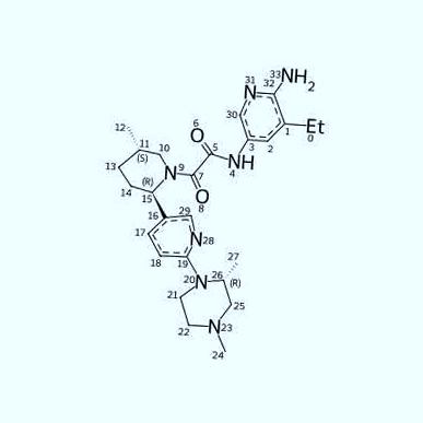 CCc1cc(NC(=O)C(=O)N2C[C@@H](C)CC[C@@H]2c2ccc(N3CCN(C)C[C@H]3C)nc2)cnc1N